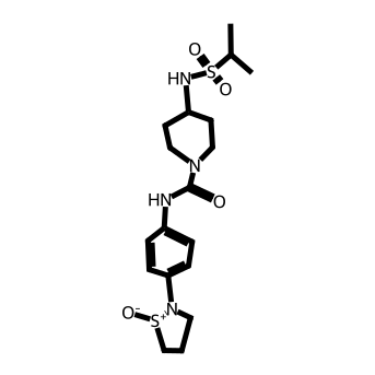 CC(C)S(=O)(=O)NC1CCN(C(=O)Nc2ccc(N3CCC[S+]3[O-])cc2)CC1